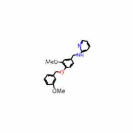 COc1cccc(COc2ccc(CNc3ccccn3)cc2OC)c1